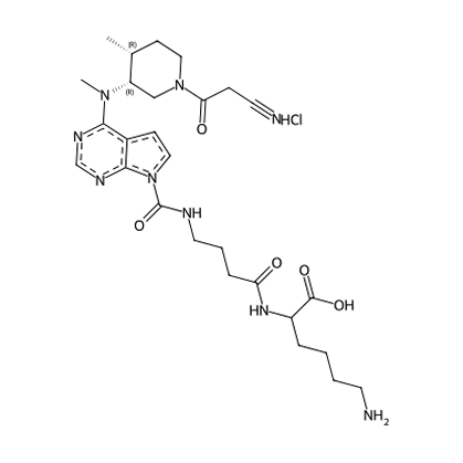 C[C@@H]1CCN(C(=O)CC#N)C[C@@H]1N(C)c1ncnc2c1ccn2C(=O)NCCCC(=O)NC(CCCCN)C(=O)O.Cl